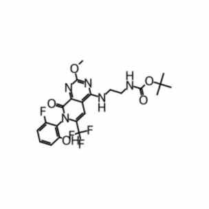 COc1nc(NCCNC(=O)OC(C)(C)C)c2cc(C(F)(F)F)n(-c3c(O)cccc3F)c(=O)c2n1